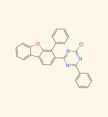 Clc1nc(-c2ccccc2)nc(-c2ccc3c(oc4ccccc43)c2-c2ccccc2)n1